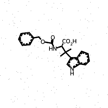 CC(C)(c1c[nH]c2ccccc12)[C@@H](NC(=O)OCc1ccccc1)C(=O)O